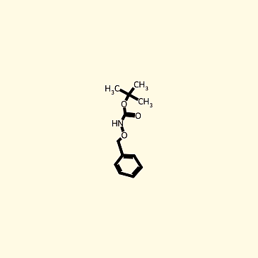 CC(C)(C)OC(=O)NOCc1ccccc1